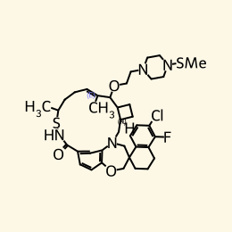 CSN1CCN(CCOC2/C(C)=C/CCC(C)SNC(=O)c3ccc4c(c3)N(C[C@@H]3CCC23)CC2(CCCc3c2ccc(Cl)c3F)CO4)CC1